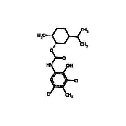 Cc1c(Cl)cc(NC(=O)O[C@H]2C[C@H](C(C)C)CC[C@H]2C)c(O)c1Cl